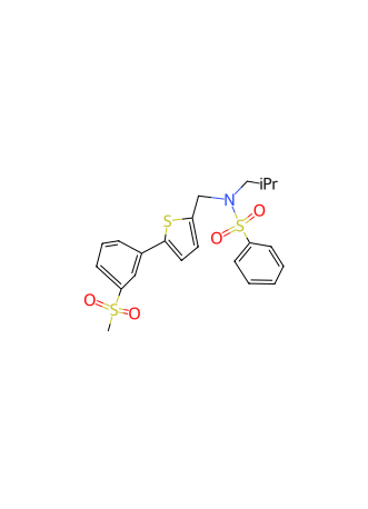 CC(C)CN(Cc1ccc(-c2cccc(S(C)(=O)=O)c2)s1)S(=O)(=O)c1ccccc1